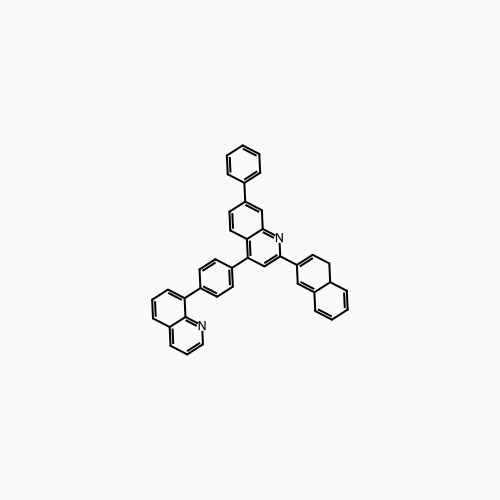 C1=CC2=CC(c3cc(-c4ccc(-c5cccc6cccnc56)cc4)c4ccc(-c5ccccc5)cc4n3)=CCC2C=C1